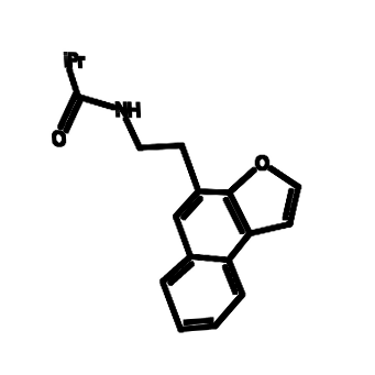 CC(C)C(=O)NCCc1cc2ccccc2c2ccoc12